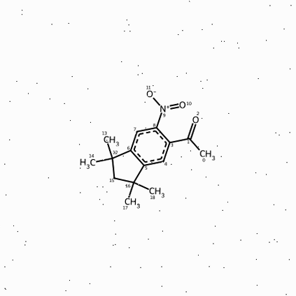 CC(=O)c1cc2c(cc1[N+](=O)[O-])C(C)(C)CC2(C)C